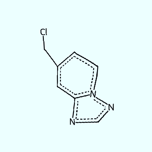 ClCc1ccn2ncnc2c1